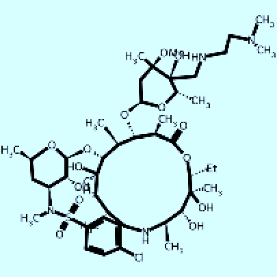 CC[C@H]1OC(=O)[C@H](C)[C@@H](O[C@H]2C[C@@](C)(OC)[C@](O)(CNCCN(C)C)[C@H](C)O2)[C@H](C)[C@@H](O[C@@H]2O[C@H](C)C[C@H](N(C)S(=O)(=O)c3ccc(Cl)cc3)[C@H]2O)[C@](C)(O)C[C@@H](C)CN[C@H](C)[C@@H](O)[C@]1(C)O